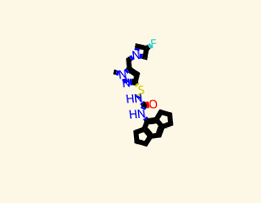 Cn1nc(SNC(=O)Nc2c3c(cc4c2CCC4)CCC3)cc1CN1CC(F)C1